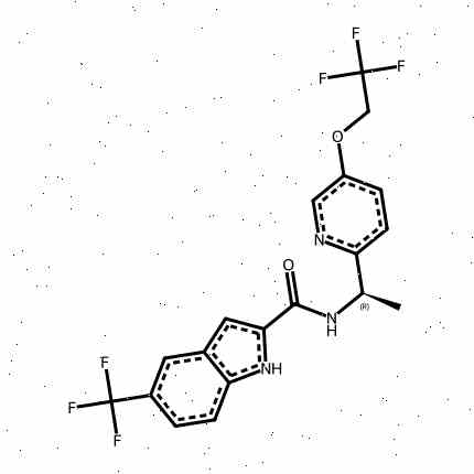 C[C@@H](NC(=O)c1cc2cc(C(F)(F)F)ccc2[nH]1)c1ccc(OCC(F)(F)F)cn1